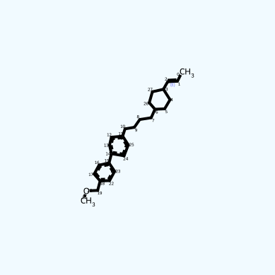 C/C=C/C1CCC(CCCCc2ccc(-c3ccc(COC)cc3)cc2)CC1